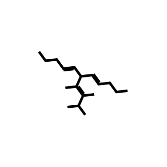 CCCC=CC(C=CCCC)C(C)=C(C)C(C)C